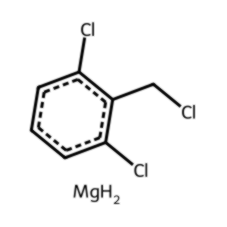 ClCc1c(Cl)cccc1Cl.[MgH2]